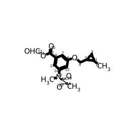 CC1CC1COc1cc(C(=O)OC=O)cc(N(C)S(C)(=O)=O)c1